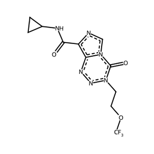 O=C(NC1CC1)c1ncn2c(=O)n(CCOC(F)(F)F)nnc12